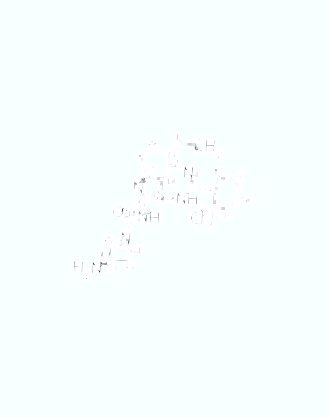 C=CC1=C(/N=C(\N)c2ccccc2Cl)c2sc(NC(=O)N3CC[C@@H](N)C3)nc2CC1